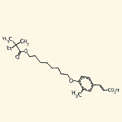 CCC(C)(C)C(=O)OCCCCCCCCOc1ccc(/C=C/C(=O)O)cc1C